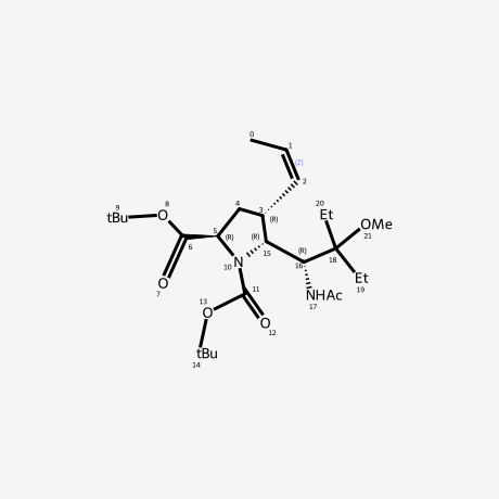 C/C=C\[C@H]1C[C@H](C(=O)OC(C)(C)C)N(C(=O)OC(C)(C)C)[C@H]1[C@@H](NC(C)=O)C(CC)(CC)OC